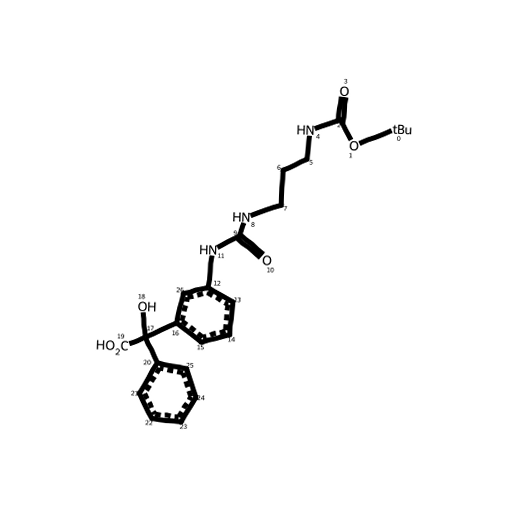 CC(C)(C)OC(=O)NCCCNC(=O)Nc1cccc(C(O)(C(=O)O)c2ccccc2)c1